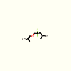 CC(C)C(C)COCC(F)(F)CC(C)C(C)C